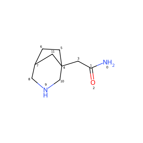 NC(=O)CC12CCC(CNC1)C2